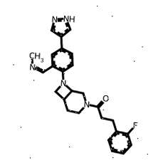 C/N=C\c1cc(-c2cn[nH]c2)ccc1N1CC2CCN(C(=O)CCc3ccccc3F)CC21